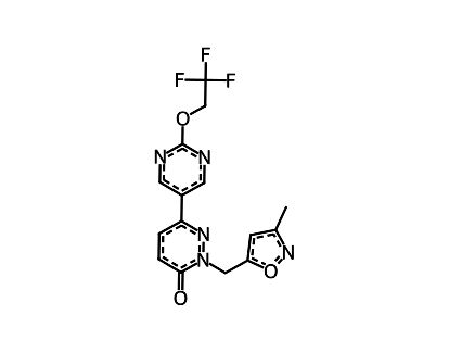 Cc1cc(Cn2nc(-c3cnc(OCC(F)(F)F)nc3)ccc2=O)on1